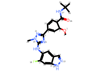 COC1C=C(c2nc(Nc3cc4cn[nH]c4cc3F)n(C)n2)C=CC1C(=O)NC(C)(C)C